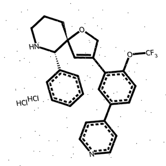 Cl.Cl.FC(F)(F)Oc1ccc(-c2ccncc2)cc1C1=C[C@@]2(CCCN[C@H]2c2ccccc2)OC1